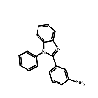 Nc1cccc(-c2nc3ccccc3n2-c2ccccc2)c1